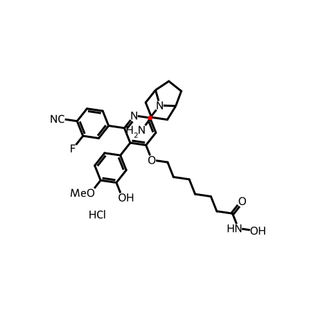 COc1ccc(-c2c(OCCCCCCC(=O)NO)cc(N3C4CCC3CC(N)C4)nc2-c2ccc(C#N)c(F)c2)cc1O.Cl